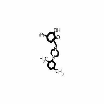 Cc1ccc(C)c(N2CCN(Cc3ccc(C(C)C)cc(O)c3=O)CC2)c1